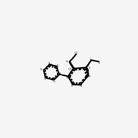 CCc1cccc(-c2[c]cccc2)c1CC